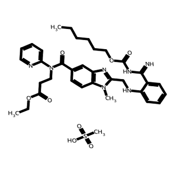 CCCCCCOC(=O)NC(=N)c1ccccc1NCc1nc2cc(C(=O)N(CCC(=O)OCC)c3ccccn3)ccc2n1C.CS(=O)(=O)O